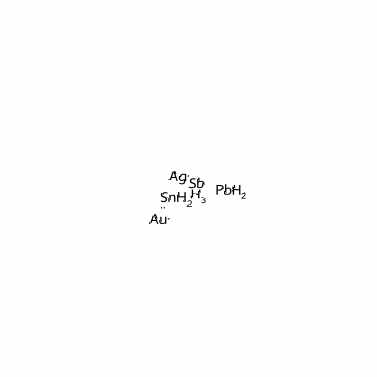 [Ag].[Au].[PbH2].[SbH3].[SnH2]